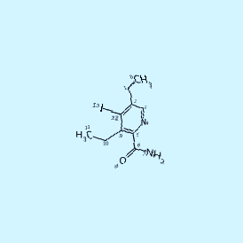 CCc1cnc(C(N)=O)c(CC)c1I